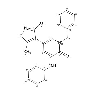 Cc1noc(C)c1-c1cc(Nc2ccncc2)c(=O)n(Cc2ccccc2)c1